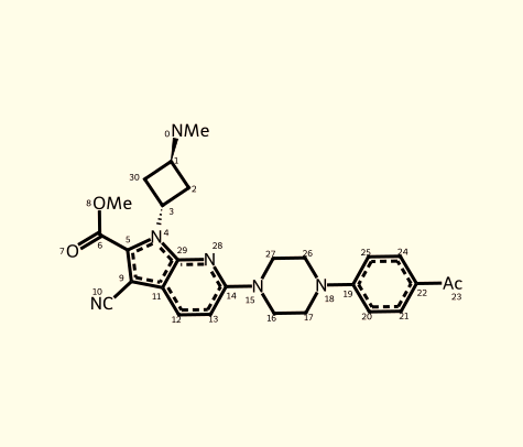 CN[C@H]1C[C@H](n2c(C(=O)OC)c(C#N)c3ccc(N4CCN(c5ccc(C(C)=O)cc5)CC4)nc32)C1